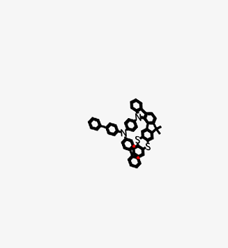 CC1(C)c2cc3c(cc2-c2c1ccc1c4ccccc4n(-c4ccc(N(c5ccc(-c6ccccc6)cc5)c5ccc(-c6ccccc6)cc5)cc4)c21)Sc1ccccc1S3